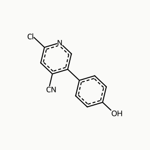 N#Cc1cc(Cl)ncc1-c1ccc(O)cc1